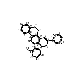 C1=C(c2cnccn2)CCc2ccc3c(c21)CCc1ccccc1-3.CN1C=CC=CC1